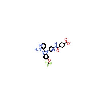 COC(=O)C1CCC(C(=O)Nc2ccc(-n3c(-c4cccnc4N)nc4ccc(OC(F)(F)F)cc43)cn2)CC1